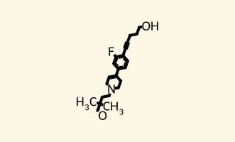 CC(C)(C=O)CCN1CC=C(c2ccc(C#CCCCO)c(F)c2)CC1